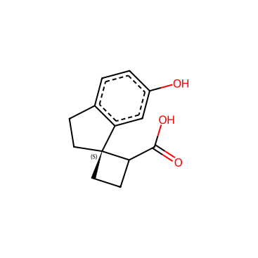 O=C(O)C1CC[C@]12CCc1ccc(O)cc12